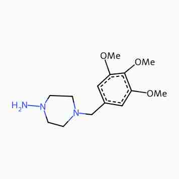 COc1cc(CN2CCN(N)CC2)cc(OC)c1OC